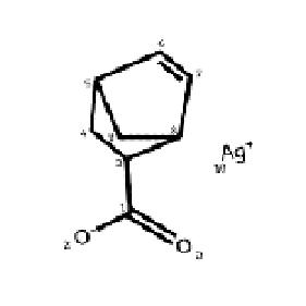 O=C([O-])C1CC2C=CC1C2.[Ag+]